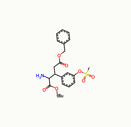 CC(C)(C)OC(=O)C(N)C(CC(=O)OCc1ccccc1)c1cccc(OS(C)(=O)=O)c1